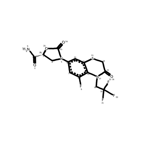 NC(=O)[C@H]1CN(c2cc(F)c3c(c2)SCC(=O)N3CC(F)(F)F)C(=O)O1